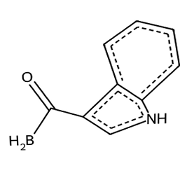 BC(=O)c1c[nH]c2ccccc12